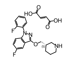 Fc1ccc2c(c1)c(OC[C@H]1CCCNC1)nn2-c1ccccc1F.O=C(O)C=CC(=O)O